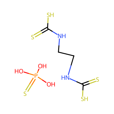 OP(O)(O)=S.S=C(S)NCCNC(=S)S